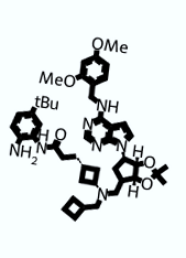 COc1ccc(CNc2ncnc3c2ccn3[C@@H]2CC(CN(CC3CCC3)[C@H]3C[C@@H](CCC(=O)Nc4cc(C(C)(C)C)ccc4N)C3)[C@H]3OC(C)(C)O[C@H]32)c(OC)c1